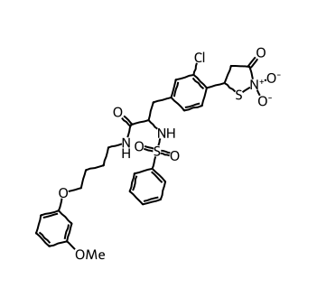 COc1cccc(OCCCCNC(=O)C(Cc2ccc(C3CC(=O)[N+]([O-])([O-])S3)c(Cl)c2)NS(=O)(=O)c2ccccc2)c1